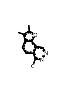 Cc1oc2c(ccc3c(Cl)nncc32)c1C